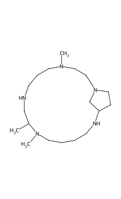 CC1CNCCCN(C)CCN2CCC(C2)NCCCCN1C